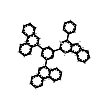 c1ccc(-c2nc(-c3cc(-c4cc5ccccc5c5ccccc45)cc(-c4cc5ccccc5c5ccccc45)c3)nc3c2sc2ccccc23)cc1